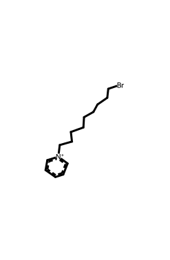 BrCCCCCCCCC[n+]1ccccc1